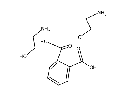 NCCO.NCCO.O=C(O)c1ccccc1C(=O)O